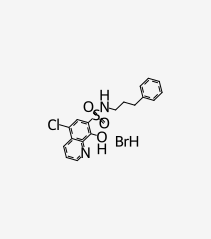 Br.O=S(=O)(NCCCc1ccccc1)c1cc(Cl)c2cccnc2c1O